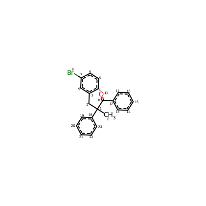 CC(Cc1cc[c]c(Br)c1)(C(=O)c1ccccc1)c1ccccc1